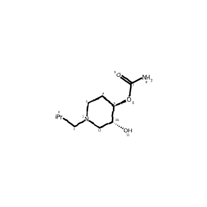 CC(C)CN1CC[C@@H](OC(N)=O)[C@H](O)C1